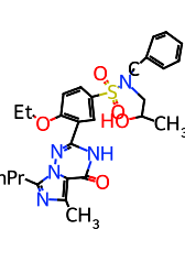 CCCc1nc(C)c2c(=O)[nH]c(-c3cc(S(=O)(=O)N(Cc4ccccc4)CC(C)O)ccc3OCC)nn12